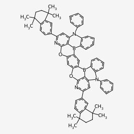 CC1(C)CCC(C)(C)c2cc(-c3cc4c5c(n3)Oc3cc6c(cc3B5c3ccccc3N4c3ccccc3)B3c4ccccc4N(c4ccccc4)c4cc(-c5ccc7c(c5)C(C)(C)CCC7(C)C)nc(c43)O6)ccc21